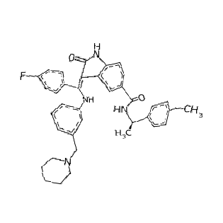 Cc1ccc([C@@H](C)NC(=O)c2ccc3c(c2)C(=C(Nc2cccc(CN4CCCCC4)c2)c2ccc(F)cc2)C(=O)N3)cc1